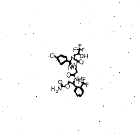 NC(=O)OCC(NC(=O)Cn1nc(-c2ccc(Cl)cc2)n(CC(O)C(F)(F)F)c1=O)c1ccccc1C(F)(F)F